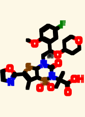 COc1ccc(F)cc1[C@H](CN1C(=O)N(C(C)(C)C(=O)O)S(=O)(=O)C2C(C)=C(c3ncco3)SC21)OC1CCOCC1